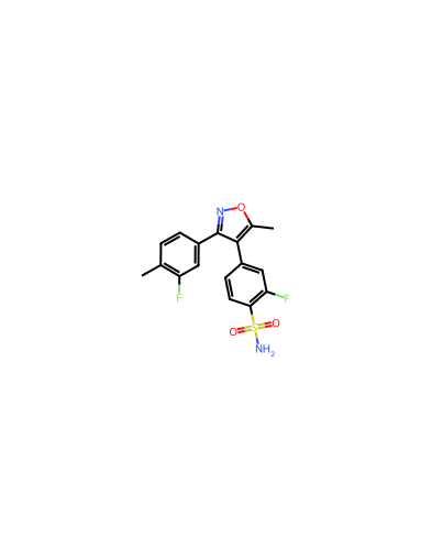 Cc1ccc(-c2noc(C)c2-c2ccc(S(N)(=O)=O)c(F)c2)cc1F